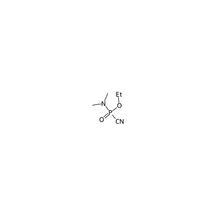 CCOP(=O)(C#N)N(C)C